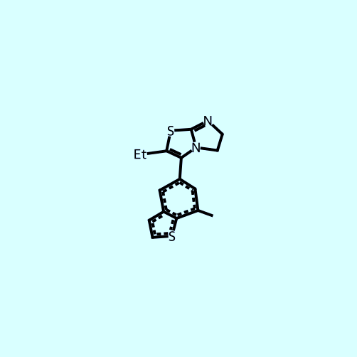 CCC1=C(c2cc(C)c3sccc3c2)N2CCN=C2S1